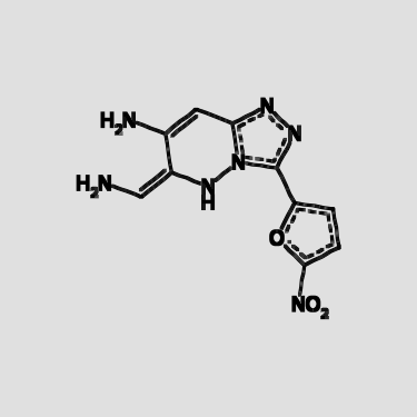 NC=C1Nn2c(nnc2-c2ccc([N+](=O)[O-])o2)C=C1N